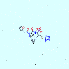 Cn1nnnc1SCC1=C(P(=O)([O-])[O-])N2C(=O)[C@@H](NC(=O)Cc3ccco3)[C@H]2SC1.[Na+].[Na+]